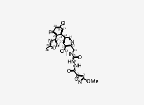 COc1cc(C(=O)NNC(=O)NCc2ncc(-c3cc(Cl)cc(F)c3-c3noc(C)n3)cc2Cl)on1